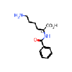 NCCCC[C@H](NC(=O)c1ccccc1)C(=O)O